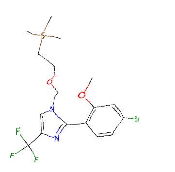 COc1cc(Br)ccc1-c1nc(C(F)(F)F)cn1COCCS(C)(C)C